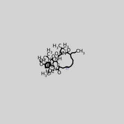 CCCC1CCCC/C=C/CC(C(=O)N(C)Cc2ccc(OC)cc2OC)CC(C(O)C(=O)NC(C)C)NC(=O)C(CC(C)C)NC1=O